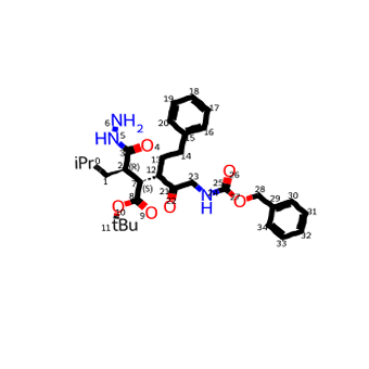 CC(C)C[C@@H](C(=O)NN)[C@@H](C(=O)OC(C)(C)C)C(CCc1ccccc1)C(=O)CNC(=O)OCc1ccccc1